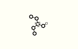 Clc1cccc(-c2nc(-c3cccc(-c4ccccc4)c3)nc(-c3cccc(-c4ccccc4)c3)n2)c1